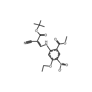 CCOc1cc(NC=C(C#N)C(=O)OC(C)(C)C)c(C(=O)OC)cc1[N+](=O)[O-]